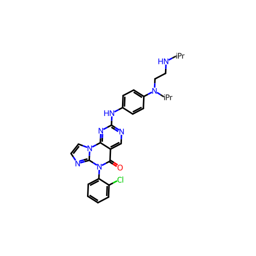 CC(C)NCCN(c1ccc(Nc2ncc3c(=O)n(-c4ccccc4Cl)c4nccn4c3n2)cc1)C(C)C